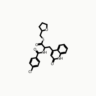 O=C(NC(Cc1cc(=O)[nH]c2ccccc12)C(=O)SCC1CCCO1)c1ccc(Cl)cc1